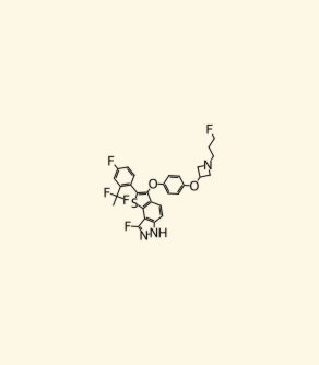 CC(F)(F)c1cc(F)ccc1-c1sc2c(ccc3[nH]nc(F)c32)c1Oc1ccc(OC2CN(CCCF)C2)cc1